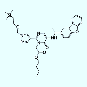 CCCCOC(=O)Cn1c(-c2cnn(COCC[Si](C)(C)C)c2)ncc(N[C@H](C)c2ccc3oc4ccccc4c3c2)c1=O